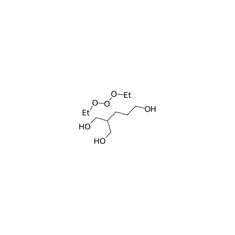 CCOOOCC.OCCCC(CO)CO